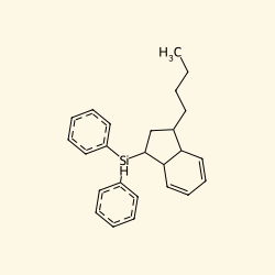 CCCCC1CC([SiH](c2ccccc2)c2ccccc2)C2C=CC=CC12